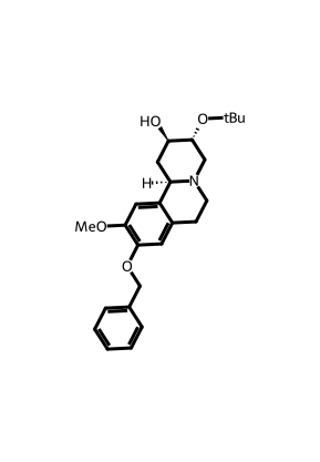 COc1cc2c(cc1OCc1ccccc1)CCN1C[C@@H](OC(C)(C)C)[C@H](O)C[C@H]21